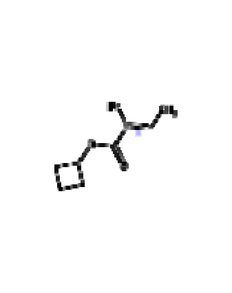 C/C=C(/C(=O)OC1CCC1)C(C)C